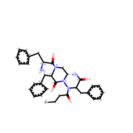 CC(C)CCC(=O)N(C(Cc1ccccc1)C(N)=O)N1CCN(C(=O)[C@@H](N)Cc2ccccc2)C(Cc2ccccc2)C1=O